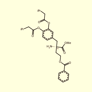 COC(=O)[C@@](N)(CCOC(=O)c1ccccc1)Cc1ccc(OC(=O)CC(C)C)c(OC(=O)CC(C)C)c1